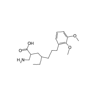 CCC(CCCc1cccc(OC)c1OC)CC(CN)C(=O)O